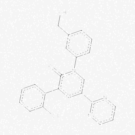 Cc1ccccc1-c1cc(-c2ncccn2)cn(-c2cccc(CO)c2)c1=O